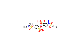 CN(C)S(=O)(=O)Nc1ccc(/C=C/c2ccc(NS(C)(=O)=O)cc2S(=O)(=O)O)c(S(=O)(=O)O)c1